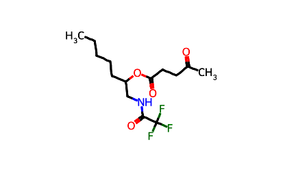 CCCCCC(CNC(=O)C(F)(F)F)OC(=O)CCC(C)=O